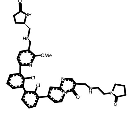 COc1nc(-c2cccc(-c3cccc(-c4ccn5c(=O)c(CNCCN6CCCC6=O)cnc5c4)c3Cl)c2Cl)ccc1CNC[C@@H]1CCC(=O)N1